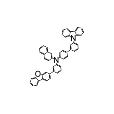 c1cc(-c2ccc3c(c2)oc2ccccc23)cc(N(c2ccc(-c3cccc(-n4c5ccccc5c5ccccc54)c3)cc2)c2ccc3ccccc3c2)c1